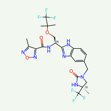 Cc1nonc1C(=O)N[C@@H](COC(C)(C)C(F)(F)F)c1nc2cc(CN3C[C@@](C)(C(F)(F)F)NC3=O)ccc2[nH]1